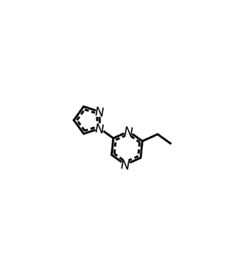 CCc1cncc(-n2cccn2)n1